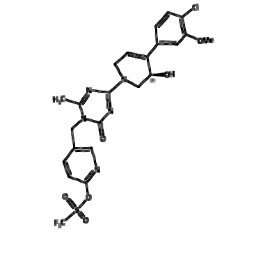 COc1cc(C2=CCN(c3nc(C)n(Cc4ccc(OS(=O)(=O)C(F)(F)F)nc4)c(=O)n3)C[C@@H]2O)ccc1Cl